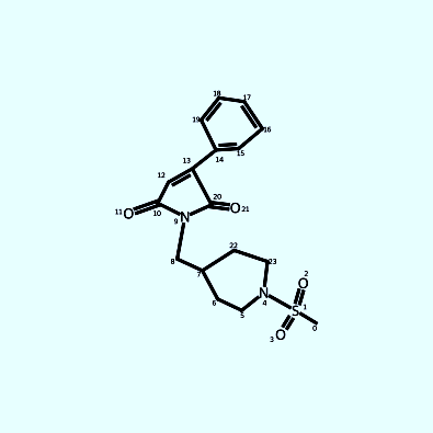 CS(=O)(=O)N1CCC(CN2C(=O)C=C(c3ccccc3)C2=O)CC1